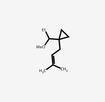 CCC(OC)C1(CC=C(C)C)CC1